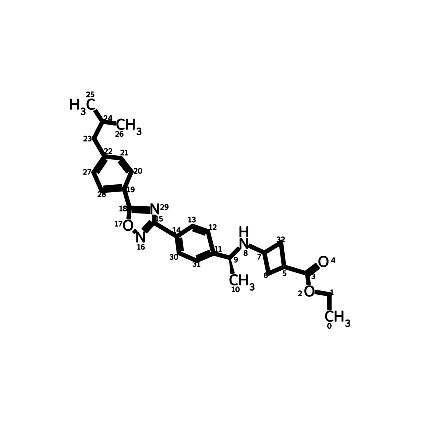 CCOC(=O)C1CC(N[C@@H](C)c2ccc(-c3noc(-c4ccc(CC(C)C)cc4)n3)cc2)C1